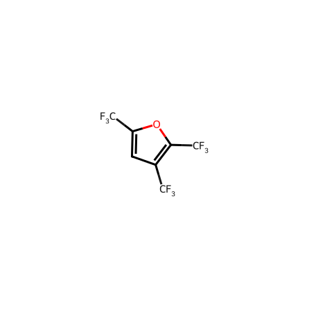 FC(F)(F)c1cc(C(F)(F)F)c(C(F)(F)F)o1